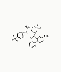 Cc1ccc(-c2ncccn2)c(C(=O)N2CC(F)(F)C[C@@H](C)[C@H]2COc2ccc(C(F)(F)F)cn2)n1